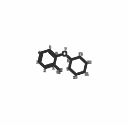 Fc1ccccc1OC1CCCCC1